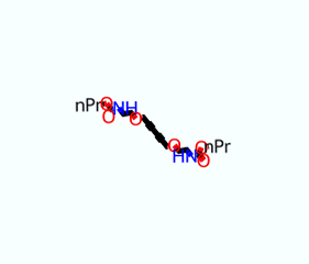 CCCOC(=O)NCCOCC#CC#CCOCCNC(=O)OCCC